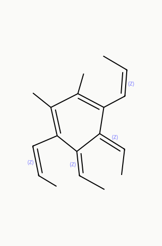 C/C=C\c1c(C)c(C)c(/C=C\C)c(=C/C)/c1=C\C